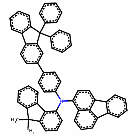 CC1(C)c2ccccc2-c2c(N(c3ccc(-c4ccc5c(c4)C(c4ccccc4)(c4ccccc4)c4ccccc4-5)cc3)c3ccc4c5c(cccc35)-c3ccccc3-4)cccc21